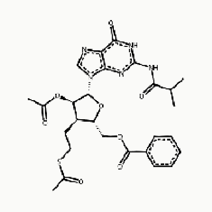 CC(=O)O[C@@H]1[C@H](CCSC(C)=O)[C@@H](COC(=O)c2ccccc2)O[C@H]1n1cnc2c(=O)[nH]c(NC(=O)C(C)C)nc21